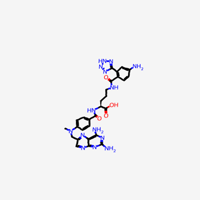 CN(Cc1cnc2nc(N)nc(N)c2n1)c1ccc(C(=O)N[C@@H](CCCNC(=O)c2ccc(N)cc2-c2nn[nH]n2)C(=O)O)cc1